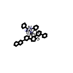 C\C=C(/N=C(\N=C(/C)n1c2ccc(-c3ccc4ccccc4c3)cc2c2ccc3sc4c(-c5ccccc5)cccc4c3c21)c1ccccc1)c1ccccc1